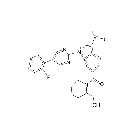 C[S+]([O-])c1cn(-c2ncc(-c3ccccc3F)cn2)c2cc(C(=O)N3CCCCC3CO)ccc12